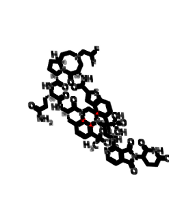 CC(C)(C)c1ccc(C[C@H](NC(=O)[C@H](CCC(N)=O)NC(=O)[C@@H]2CC[C@@H]3CCN(CC(F)F)C[C@H](NC(=O)c4cc5cc(C(F)(F)P(=O)(O)O)ccc5s4)C(=O)N32)C(=O)N2CCN(CCNc3nccc4c3C(=O)N(C3CCC(=O)NC3=O)C4=O)CC2)cc1